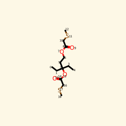 CCC(CC)(CCOC(=O)CSC)OC(=O)CSC